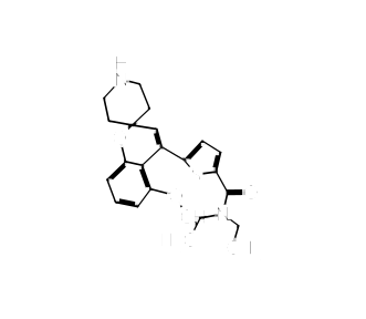 CCN(CC)C(=O)c1ccc(C2=CC3(CCNCC3)Oc3cccc(OC)c32)s1